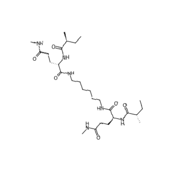 CC[C@H](C)C(=O)N[C@@H](CCC(=O)NC)C(=O)NCCCCCCNC(=O)[C@H](CCC(=O)NC)NC(=O)[C@@H](C)CC